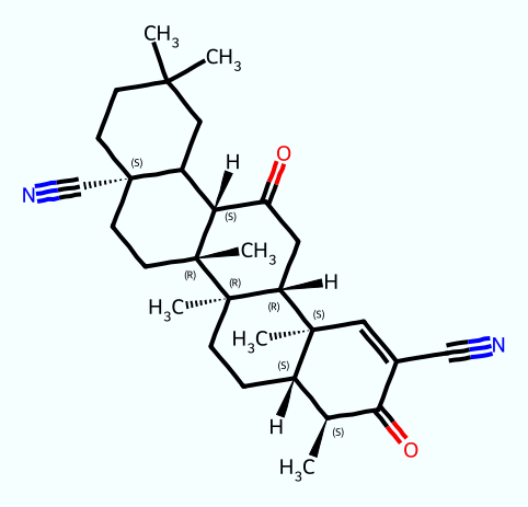 C[C@@H]1C(=O)C(C#N)=C[C@]2(C)[C@H]3CC(=O)[C@H]4C5CC(C)(C)CC[C@]5(C#N)CC[C@@]4(C)[C@]3(C)CC[C@@H]12